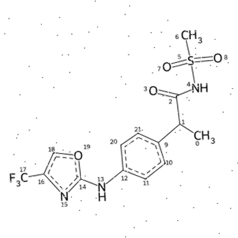 CC(C(=O)NS(C)(=O)=O)c1ccc(Nc2nc(C(F)(F)F)co2)cc1